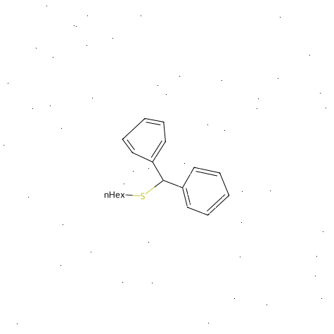 CCCCCCSC(c1ccccc1)c1ccccc1